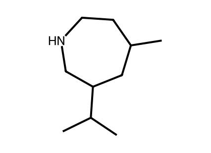 CC1CCNCC(C(C)C)C1